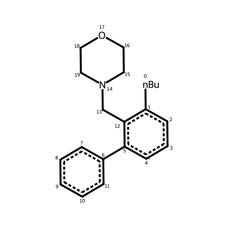 CCCCc1cc[c]c(-c2ccccc2)c1CN1CCOCC1